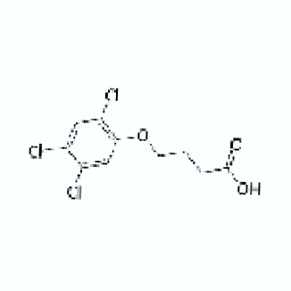 O=C(O)CCCOc1cc(Cl)c(Cl)cc1Cl